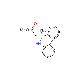 CCCCC1(CC(=O)OC)Nc2ccccc2-c2ccccc21